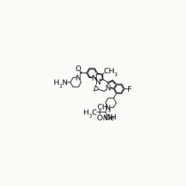 COC(C)(C)C(O)N1CCC(c2cc(F)cc3cc(-c4nn5cc(C(=O)N6CCC[C@@H](N)C6)ccc5c4C)n(CC4CC4)c23)CC1